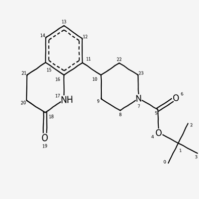 CC(C)(C)OC(=O)N1CCC(c2cccc3c2NC(=O)CC3)CC1